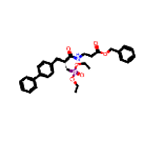 CCOP(=O)(C[C@H](Cc1ccc(-c2ccccc2)cc1)C(=O)NCCC(=O)OCc1ccccc1)OCC